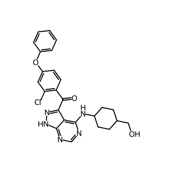 O=C(c1ccc(Oc2ccccc2)cc1Cl)c1n[nH]c2ncnc(NC3CCC(CO)CC3)c12